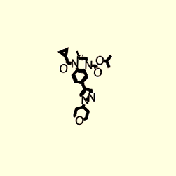 CC(C)OC(=O)N1C[C@H](C)N(C(=O)C2CC2)c2ccc(-c3cnn(C4CCOCC4)c3)cc21